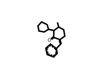 CC1CCC(=Cc2ccccc2)C(=O)C1C1CCCCC1